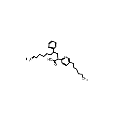 C=CCCCCCC(CC(C(=O)O)c1ncc(CCCCCC)cn1)c1ccccc1